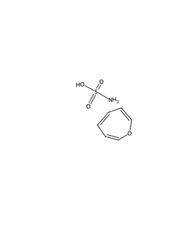 C1=CC=COC=C1.NS(=O)(=O)O